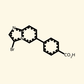 O=C(O)c1ccc(-c2ccc3ncc(Br)n3c2)cc1